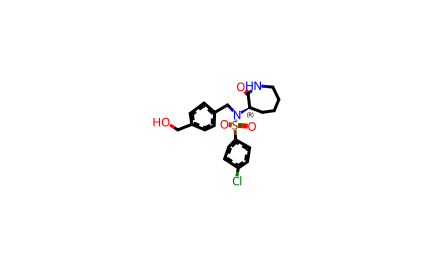 O=C1NCCCC[C@H]1N(Cc1ccc(CO)cc1)S(=O)(=O)c1ccc(Cl)cc1